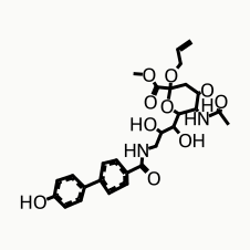 C=CCOC1(C(=O)OC)CC(O)C(NC(C)=O)C(C(O)C(O)CNC(=O)c2ccc(-c3ccc(O)cc3)cc2)O1